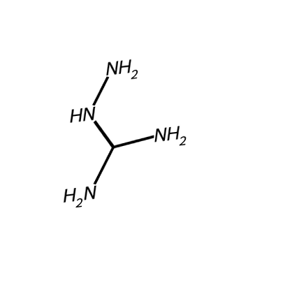 NNC(N)N